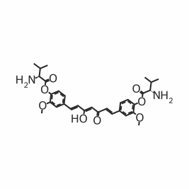 COc1cc(C=CC(=O)C=C(O)C=Cc2ccc(OC(=O)[C@@H](N)C(C)C)c(OC)c2)ccc1OC(=O)[C@@H](N)C(C)C